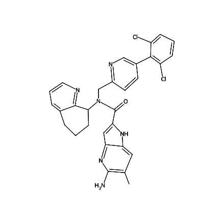 Cc1cc2[nH]c(C(=O)N(Cc3ccc(-c4c(Cl)cccc4Cl)cn3)C3CCCc4cccnc43)cc2nc1N